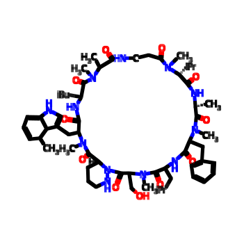 CCC(C)C1NC(=O)C(CC2=CNC3=CC=CC(C)C23)N(C)C(=O)[C@H]2CCCNN2C(=O)C(CO)N(C)C(=O)C(CC(C)C)NC(=O)C(Cc2ccccc2)N(C)C(=O)[C@@H](C)NC(=O)[C@@H](C(C)C)N(C)C(=O)CCNC(=O)C(C)N(C)C1=O